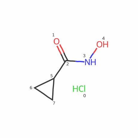 Cl.O=C(NO)C1CC1